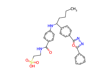 CCCCC(Nc1ccc(C(=O)NCCS(=O)(=O)O)cc1)c1ccc(-c2nnc(-c3ccccc3)o2)cc1